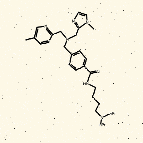 CCCN(CCC)CCCCNC(=O)c1ccc(CN(Cc2ccc(C)cn2)Cc2nccn2C)cc1